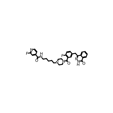 O=C(NCCCCCN1CCN(C(=O)c2cc(Cc3n[nH]c(=O)c4ccccc34)ccc2F)CC1)c1ccnc(F)c1